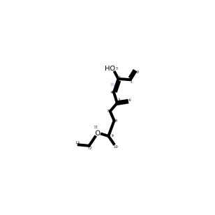 C=C/C(O)=C\C(=C)CCC(C)OCC